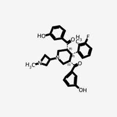 Cc1c(F)cccc1[C@H]1[C@@H](C(=O)c2cccc(O)c2)CN(C2CN(C)C2)C[C@H]1C(=O)c1cccc(O)c1